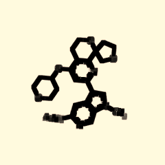 CC(=O)Nc1cc2c(-c3cc(OC4CCOCC4)c4c(n3)C3(CCOC3)OCC4)cn(C)c2cn1